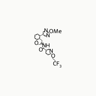 COc1ncc(-c2cccc3c2C[C@H](NC(=O)c2ccc(OCCC(F)(F)F)nc2)CO3)cn1